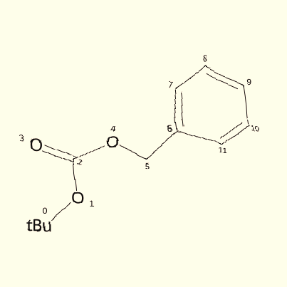 CC(C)(C)OC(=O)OCc1ccccc1